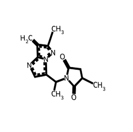 C=c1c(C)nn2c(C(C)N3C(=O)CC(C)C3=O)cnc12